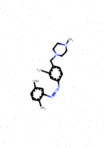 Cc1ccc(C=O)cc1N=[N+]=Nc1ccc(CN2CCN(C)CC2)c(C(F)(F)F)c1